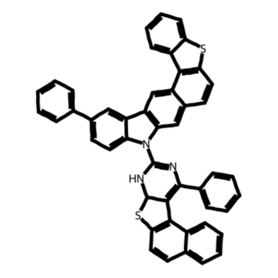 c1ccc(C2=C3c4c(ccc5ccccc45)SC3NC(n3c4ccc(-c5ccccc5)cc4c4cc5c(ccc6sc7ccccc7c65)cc43)=N2)cc1